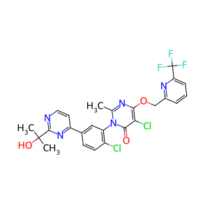 Cc1nc(OCc2cccc(C(F)(F)F)n2)c(Cl)c(=O)n1-c1cc(-c2ccnc(C(C)(C)O)n2)ccc1Cl